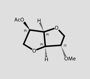 CO[C@H]1CO[C@H]2[C@@H]1OC[C@H]2OC(C)=O